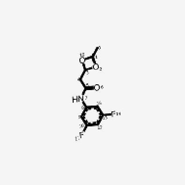 CC1OC(CC(=O)Nc2cc(F)cc(F)c2)O1